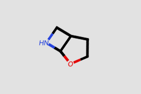 C1CC2CNC2O1